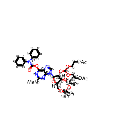 CNc1nc(OC(=O)N(c2ccccc2)c2ccccc2)c2ncn([C@@H]3O[C@@H]4CO[Si](C(C)C)(C(C)C)O[Si](C(C)C)(C(C)C)O[C@H]4[C@H]3OC(OCCOC(C)=O)OCCOC(C)=O)c2n1